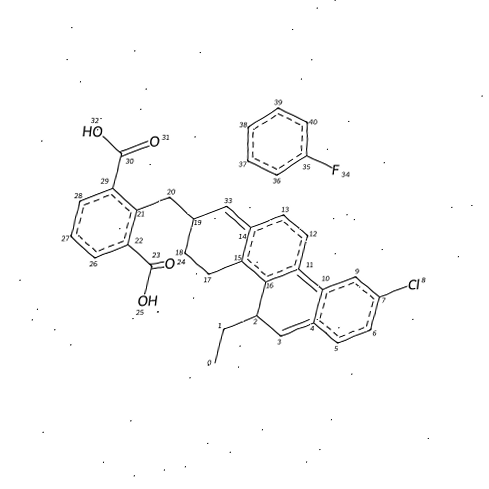 CCC1C=c2ccc(Cl)cc2=c2ccc3c(c21)CCC(Cc1c(C(=O)O)cccc1C(=O)O)C=3.Fc1ccccc1